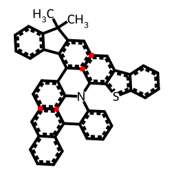 CC1(C)c2ccccc2-c2c(-c3ccccc3N(c3ccccc3-c3cccc4ccccc34)c3cccc4c3sc3ccccc34)cccc21